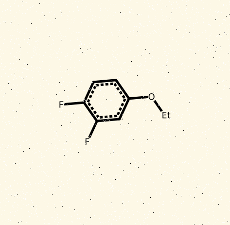 CCOc1[c]c(F)c(F)cc1